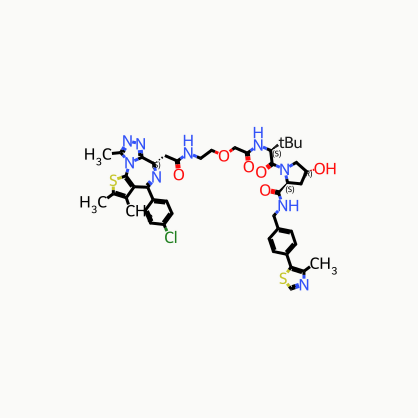 Cc1ncsc1-c1ccc(CNC(=O)[C@@H]2C[C@@H](O)CN2C(=O)[C@@H](NC(=O)COCCNC(=O)C[C@@H]2N=C(c3ccc(Cl)cc3)c3c(sc(C)c3C)-n3c(C)nnc32)C(C)(C)C)cc1